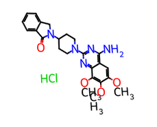 COc1cc2c(N)nc(N3CCC(N4Cc5ccccc5C4=O)CC3)nc2c(OC)c1OC.Cl